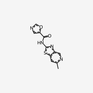 Cc1cc2sc(NC(=O)c3cnco3)nc2cn1